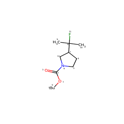 CC(C)(C)OC(=O)N1CCC(C(C)(C)F)C1